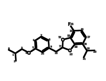 CC(C)COc1cccc(CC2Oc3c(F)ccc(C(C)C)c3O2)c1